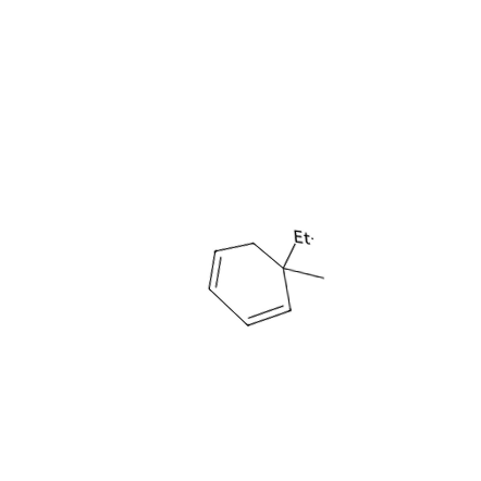 C[CH]C1(C)C=CC=CC1